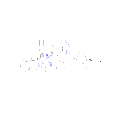 CC(C)c1ccc(NC(=S)N(Cc2ccccc2C(F)(F)F)C[C@H](C)NC(=O)Cc2cncn2Cc2ccc(C#N)cc2)cc1